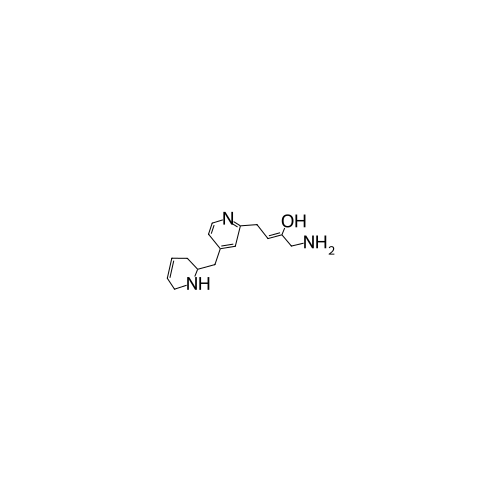 NCC(O)=CCc1cc(CC2CC=CCN2)ccn1